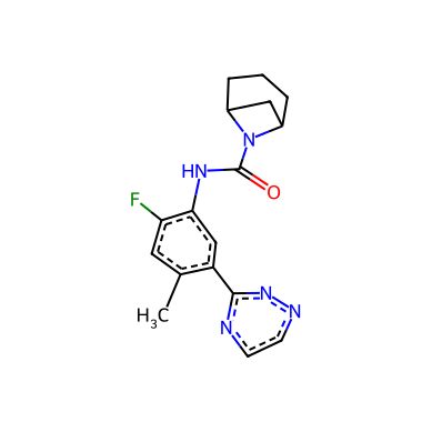 Cc1cc(F)c(NC(=O)N2C3CCCC2C3)cc1-c1nccnn1